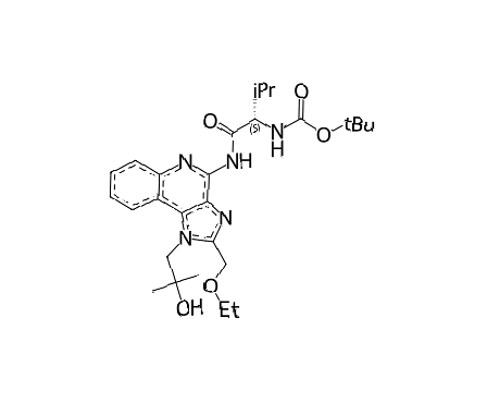 CCOCc1nc2c(NC(=O)[C@@H](NC(=O)OC(C)(C)C)C(C)C)nc3ccccc3c2n1CC(C)(C)O